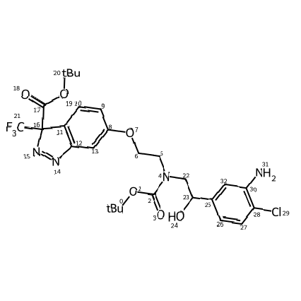 CC(C)(C)OC(=O)N(CCOc1ccc2c(c1)N=NC2(C(=O)OC(C)(C)C)C(F)(F)F)CC(O)c1ccc(Cl)c(N)c1